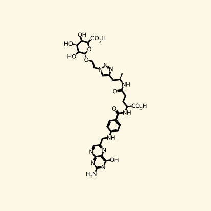 C[C@H](Cc1cn(CCO[C@@H]2OC(C(=O)O)C(O)[C@H](O)C2O)nn1)NC(=O)CC[C@H](NC(=O)c1ccc(NCc2cnc3nc(N)nc(O)c3n2)cc1)C(=O)O